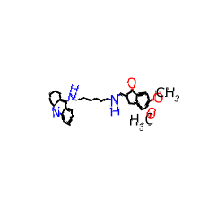 COc1cc2c(cc1OC)C(=O)C(CNCCCCCCNc1c3c(nc4ccccc14)CCCC3)C2